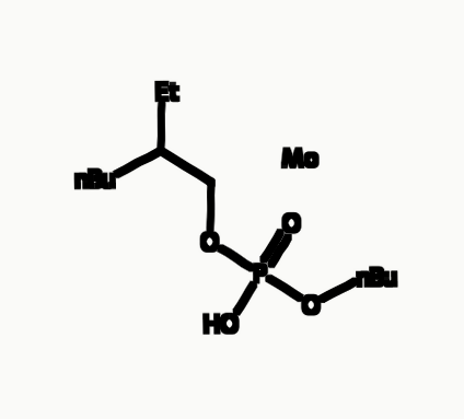 CCCCOP(=O)(O)OCC(CC)CCCC.[Mo]